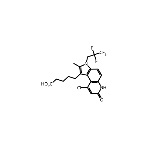 Cc1c(CCCCC(=O)O)c2c3c(Cl)cc(=O)[nH]c3ccc2n1CC(F)(F)C(F)(F)F